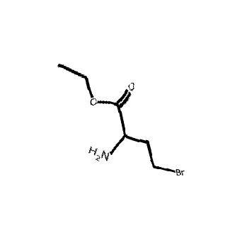 CCOC(=O)C(N)CCBr